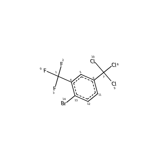 FC(F)(F)c1cc(C(Cl)(Cl)Cl)ccc1Br